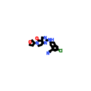 N#Cc1cc(Cl)cc2c1CC(Nc1ncc3c(n1)CCN(C1CCOC1)C3=O)C2